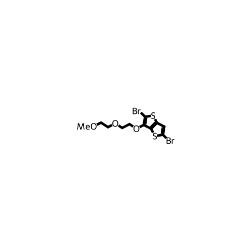 COCCOCCOc1c(Br)sc2cc(Br)sc12